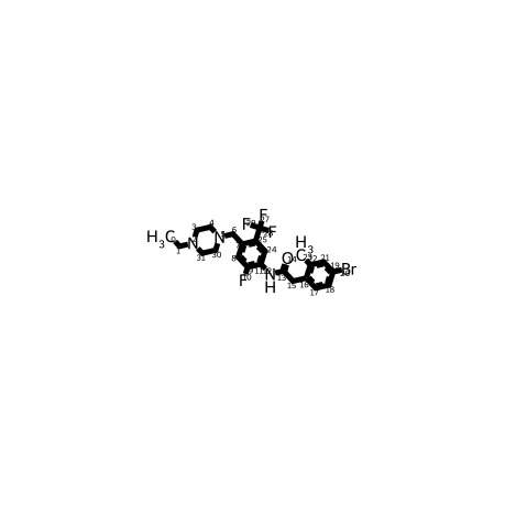 CCN1CCN(Cc2cc(F)c(NC(=O)Cc3ccc(Br)cc3C)cc2C(F)(F)F)CC1